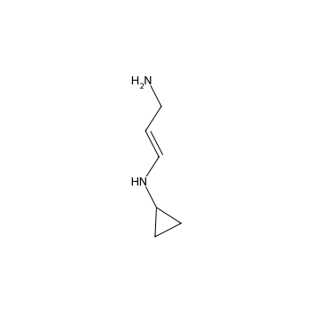 NCC=CNC1CC1